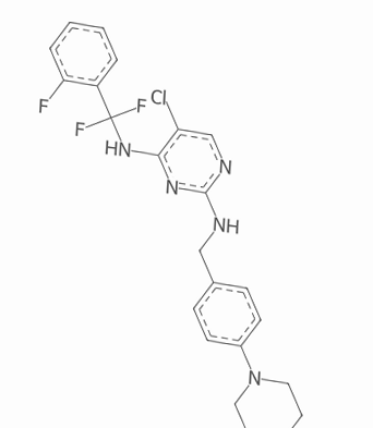 Fc1ccccc1C(F)(F)Nc1nc(NCc2ccc(N3CCOCC3)cc2)ncc1Cl